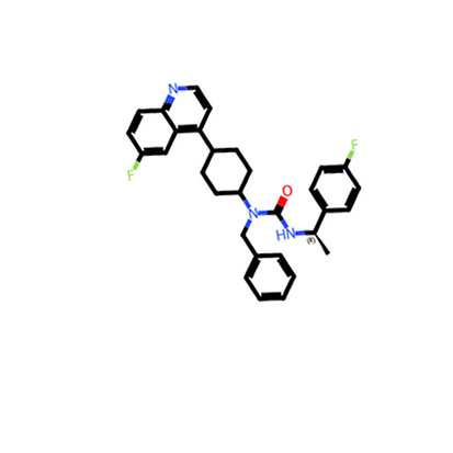 C[C@@H](NC(=O)N(Cc1ccccc1)C1CCC(c2ccnc3ccc(F)cc23)CC1)c1ccc(F)cc1